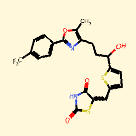 Cc1oc(-c2ccc(C(F)(F)F)cc2)nc1CCC(O)c1ccc(C=C2SC(=O)NC2=O)s1